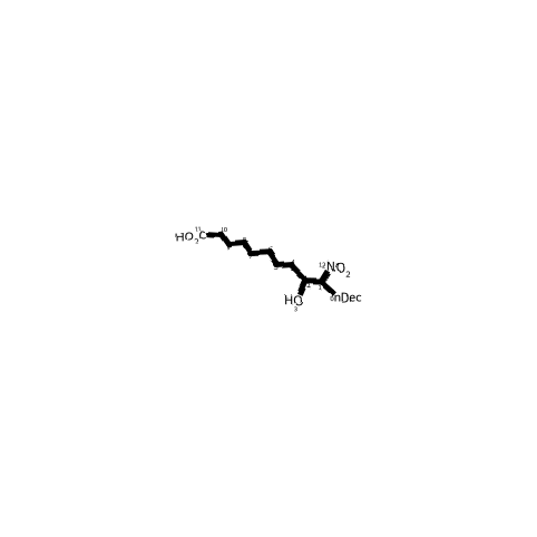 CCCCCCCCCCC(C(O)CCCCCCCC(=O)O)[N+](=O)[O-]